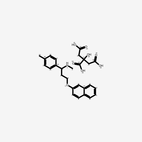 CNC(CCOc1ccc2ccccc2c1)c1ccc(C)cc1.O=C(O)CC(O)(CC(=O)O)C(=O)O